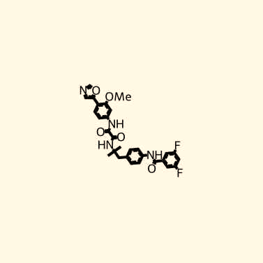 COc1cc(NC(=O)C(=O)NC(C)(C)Cc2ccc(NC(=O)c3cc(F)cc(F)c3)cc2)ccc1-c1cnco1